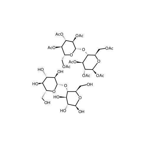 CC(=O)OC[C@H]1O[C@@H](O[C@H]2[C@H](OC(C)=O)[C@@H](OC(C)=O)[C@H](OC(C)=O)O[C@@H]2COC(C)=O)[C@H](OC(C)=O)[C@@H](OC(C)=O)[C@@H]1OC(C)=O.OC[C@H]1O[C@@H](O[C@H]2[C@H](O)[C@@H](O)[C@H](O)O[C@@H]2CO)[C@H](O)[C@@H](O)[C@@H]1O